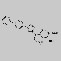 CNC(=O)[C@@H](NC(=O)[C@@H](CC(=O)O)n1ccc(-c2ccc(-c3ccccc3)cc2)c1)C(C)(C)C